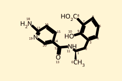 C[C@H](Cc1cccc(C(=O)O)c1O)NC(=O)c1ccc(N)nc1